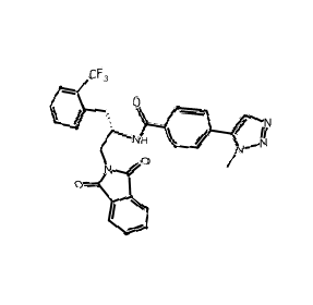 Cn1nncc1-c1ccc(C(=O)N[C@@H](Cc2ccccc2C(F)(F)F)CN2C(=O)c3ccccc3C2=O)cc1